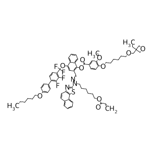 C=CC(=O)OCCCCCCN(/N=C/c1cc(OC(F)(F)c2ccc(-c3ccc(OCCCCCC)cc3)c(F)c2F)c2ccccc2c1OC(=O)c1ccc(OCCCCCCOCC2(CC)COC2)c(OC)c1)c1nc2ccc3ccccc3c2s1